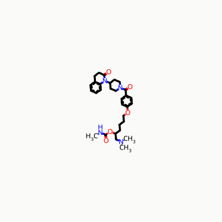 CNC(=O)OC(CCCCOc1ccc(C(=O)N2CCC(N3C(=O)CCc4ccccc43)CC2)cc1)CN(C)C